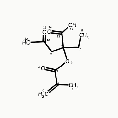 C=C(C)C(=O)OC(CC)(CC(=O)O)C(=O)O